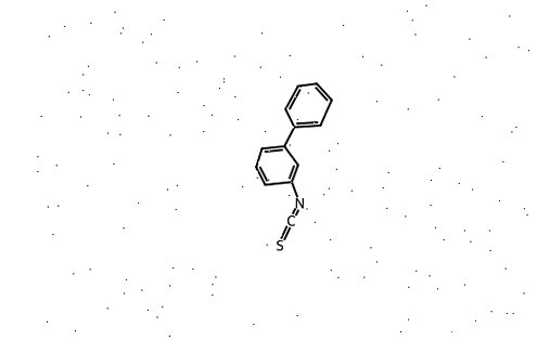 S=C=Nc1cccc(-c2ccccc2)c1